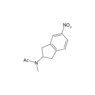 CC(=O)N(C)C1Cc2ccc([N+](=O)[O-])cc2C1